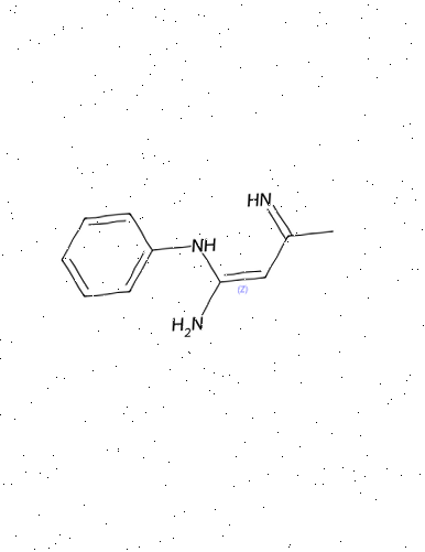 CC(=N)/C=C(/N)Nc1ccccc1